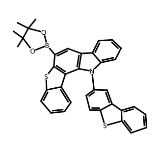 CC1(C)OB(c2cc3c4ccccc4n(-c4ccc5sc6ccccc6c5c4)c3c3c2sc2ccccc23)OC1(C)C